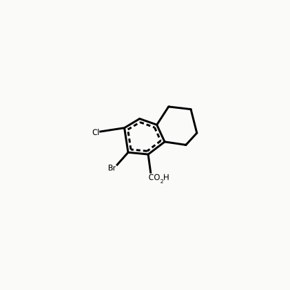 O=C(O)c1c(Br)c(Cl)cc2c1CCCC2